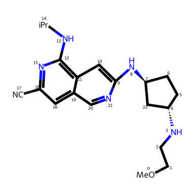 COCCN[C@H]1CC[C@H](Nc2cc3c(NC(C)C)nc(C#N)cc3cn2)C1